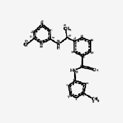 Cc1cncc(NC(=O)c2cccc(C(C)Nc3cncc(Cl)n3)c2)c1